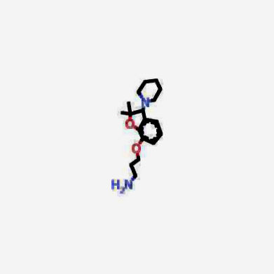 CC1(C)Oc2c(OCCCN)cccc2C1N1CCCCC1